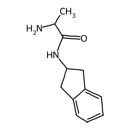 CC(N)C(=O)NC1Cc2ccccc2C1